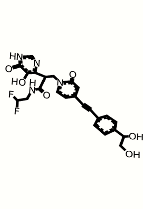 O=C(NCC(F)F)C(Cn1ccc(C#Cc2ccc(C(O)CO)cc2)cc1=O)c1nc[nH]c(=O)c1O